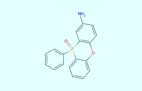 Nc1ccc2c(c1)P(=O)(c1ccccc1)c1ccccc1O2